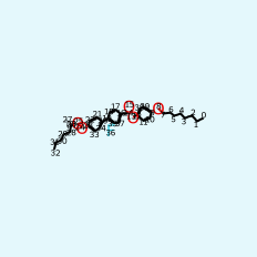 CCCCCCCCOc1ccc(OC(=O)c2ccc(-c3ccc(OO[C@@H](C)CCCCC)cc3)c(F)c2)cc1